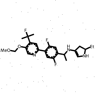 CCC1CC(NC(C)c2cc(F)c(-c3cc(C(C)(C)F)c(OCOC)cn3)cc2F)=CN1